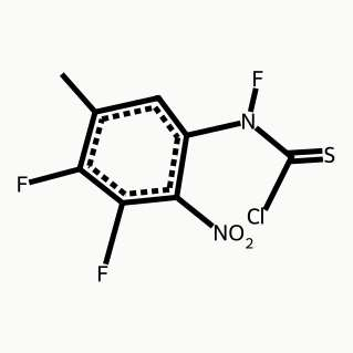 Cc1cc(N(F)C(=S)Cl)c([N+](=O)[O-])c(F)c1F